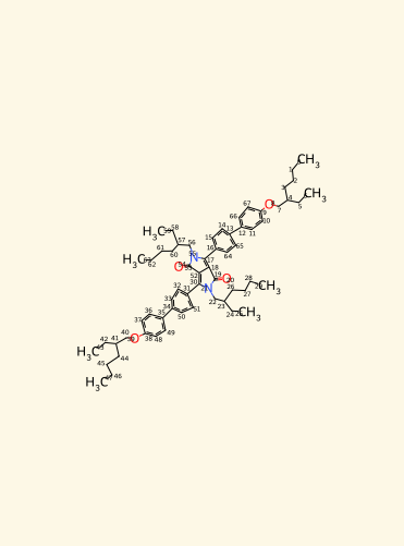 CCCCC(CC)COc1ccc(-c2ccc(C3=C4C(=O)N(CC(CC)CCCC)C(c5ccc(-c6ccc(OCC(CC)CCCC)cc6)cc5)=C4C(=O)N3CC(CC)CCCC)cc2)cc1